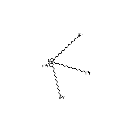 CCC[O][Zr](=[O])([CH2]CCCCCCCCCCCCCCC(C)C)([CH2]CCCCCCCCCCCCCCC(C)C)[O]CCCCCCCCCCCCCCCC(C)C